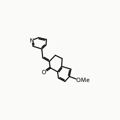 COc1ccc2c(c1)CCC(=Cc1cccnc1)C2=O